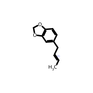 C/C=C/Cc1ccc2c(c1)OCO2